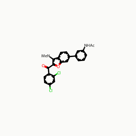 CNc1c(C(=O)c2ccc(Cl)cc2Cl)oc2cc(-c3cccc(NC(C)=O)c3)ccc12